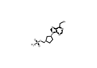 CC(C)Cc1ncnc2c1ncn2[C@H]1CC[C@@H](COS(N)(=O)=O)C1